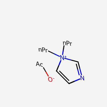 CC(=O)[O-].CCC[N+]1(CCC)C=CN=C1